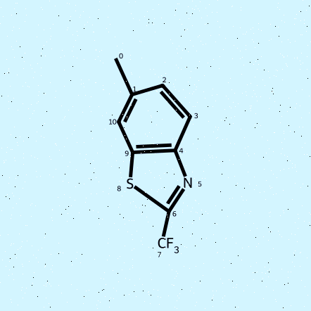 Cc1ccc2nc(C(F)(F)F)sc2c1